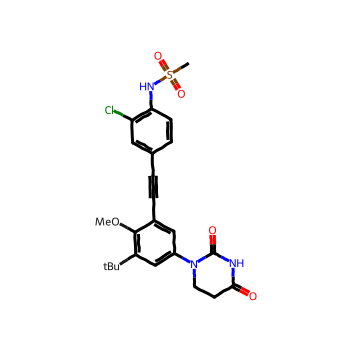 COc1c(C#Cc2ccc(NS(C)(=O)=O)c(Cl)c2)cc(N2CCC(=O)NC2=O)cc1C(C)(C)C